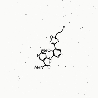 CNC(=O)c1cnccc1Nc1cccc(-c2noc(CCF)n2)c1OC